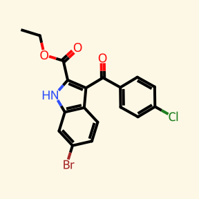 CCOC(=O)c1[nH]c2cc(Br)ccc2c1C(=O)c1ccc(Cl)cc1